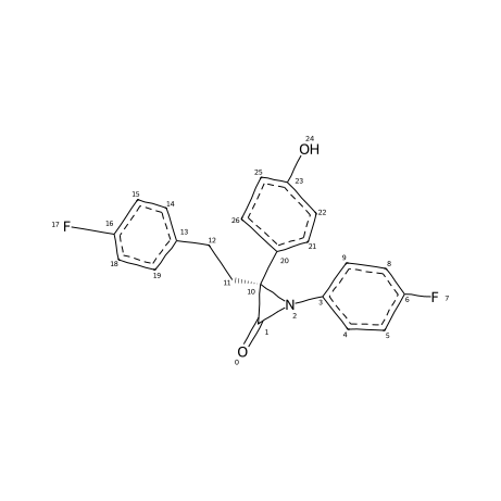 O=C1N(c2ccc(F)cc2)[C@]1(CCc1ccc(F)cc1)c1ccc(O)cc1